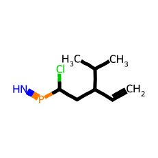 C=CC(CC(Cl)P=N)C(C)C